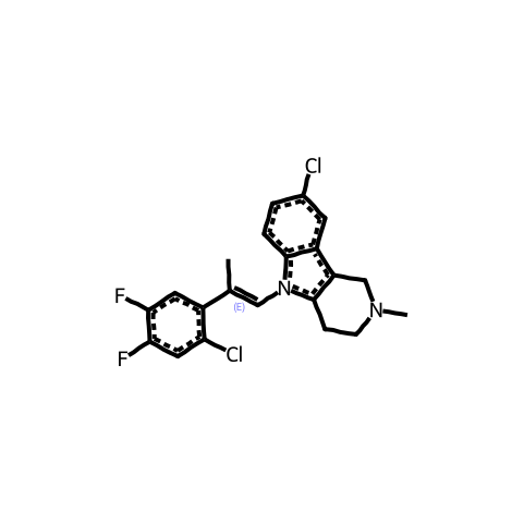 C/C(=C\n1c2c(c3cc(Cl)ccc31)CN(C)CC2)c1cc(F)c(F)cc1Cl